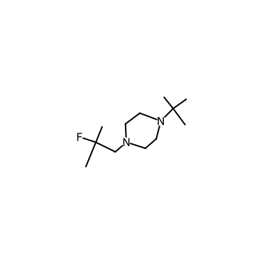 CC(C)(F)CN1CCN(C(C)(C)C)CC1